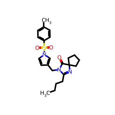 CCCCC1=NC2(CCCC2)C(=O)N1Cc1ccn(S(=O)(=O)c2ccc(C)cc2)c1